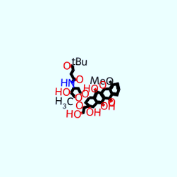 COc1cccc2c1C(=O)c1c(O)c3c(c(O)c1C2=O)CC(O)(C(=O)CO)CC3OC1CC(NC(=O)CCC(=O)C(C)(C)C)C(O)C(C)O1